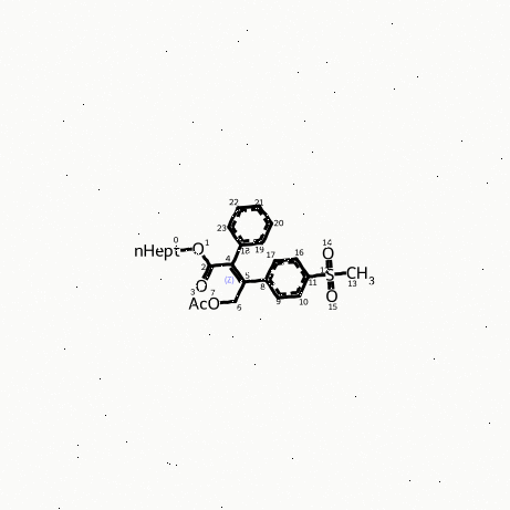 CCCCCCCOC(=O)/C(=C(\COC(C)=O)c1ccc(S(C)(=O)=O)cc1)c1ccccc1